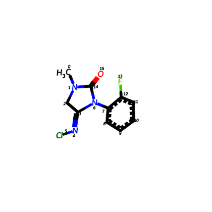 CN1CC(=NCl)N(c2ccccc2F)C1=O